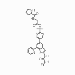 CCNC(=O)Nc1nc2cc(-c3cnc(C(C)(C)OC(=O)CNC(=O)C4CCCN4)nc3)cc(-c3ccccn3)c2s1